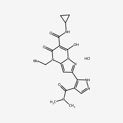 CN(C)C(=O)c1cn[nH]c1-c1cc2n(CC(C)(C)C)c(=O)c(C(=O)NC3CC3)c(O)n2n1.Cl